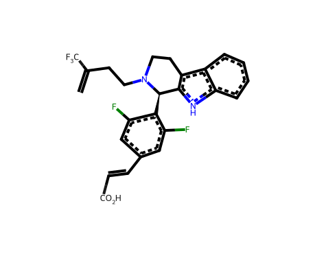 C=C(CCN1CCc2c([nH]c3ccccc23)[C@H]1c1c(F)cc(/C=C/C(=O)O)cc1F)C(F)(F)F